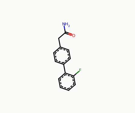 NC(=O)Cc1ccc(-c2ccccc2F)cc1